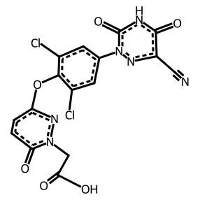 N#Cc1nn(-c2cc(Cl)c(Oc3ccc(=O)n(CC(=O)O)n3)c(Cl)c2)c(=O)[nH]c1=O